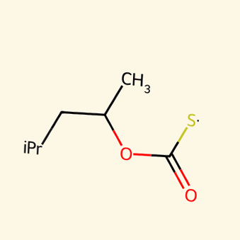 CC(C)CC(C)OC(=O)[S]